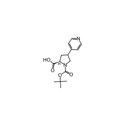 CC(C)(C)OC(=O)N1CC(c2ccncc2)C[C@@H]1C(=O)O